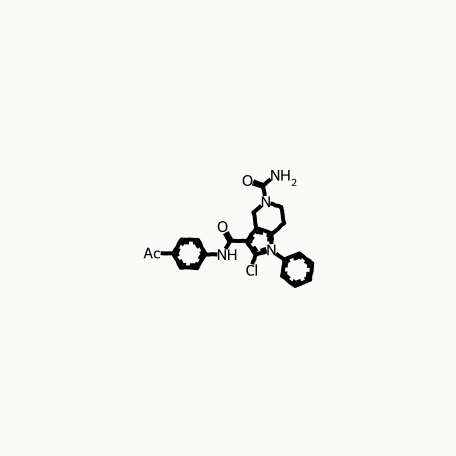 CC(=O)c1ccc(NC(=O)c2c3c(n(-c4ccccc4)c2Cl)CCN(C(N)=O)C3)cc1